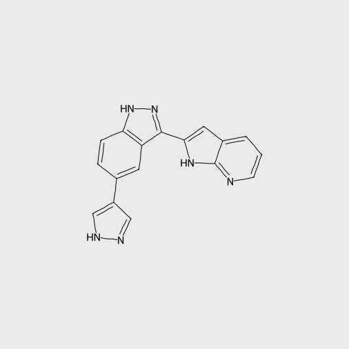 c1cnc2[nH]c(-c3n[nH]c4ccc(-c5cn[nH]c5)cc34)cc2c1